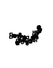 O=C(CCCC(=O)N1CCC(Nc2cc(C(=O)NC[C@@H](O)CN3CCc4ccccc4C3)ncn2)CC1)N[C@@H](Cc1ccccc1)C(=O)N1C/C(=C\c2ccc(Cl)c(Cl)c2)C(=O)/C(=C/c2ccc(Cl)c(Cl)c2)C1